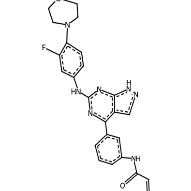 C=CC(=O)Nc1cccc(-c2nc(Nc3ccc(N4CCOCC4)c(F)c3)nc3[nH]ncc23)c1